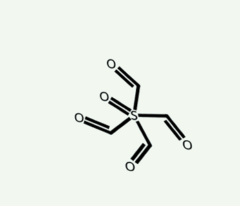 O=CS(=O)(C=O)(C=O)C=O